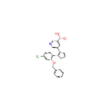 O=C(O)c1cncc(C2=C(c3ccc(Cl)cc3OCc3ccccc3)CCC2)c1